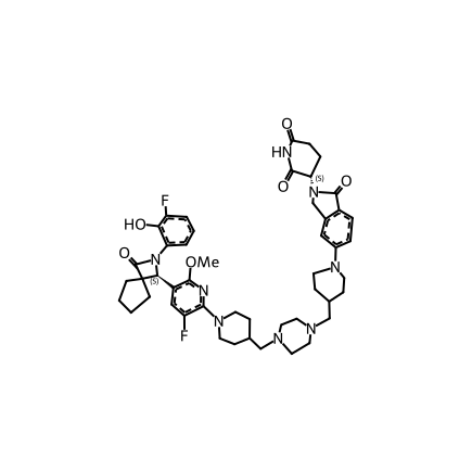 COc1nc(N2CCC(CN3CCN(CC4CCN(c5ccc6c(c5)CN([C@H]5CCC(=O)NC5=O)C6=O)CC4)CC3)CC2)c(F)cc1[C@@H]1N(c2cccc(F)c2O)C(=O)C12CCCC2